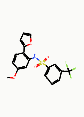 COc1ccc(-c2ccco2)c(NS(=O)(=O)c2cccc(C(F)(F)F)c2)c1